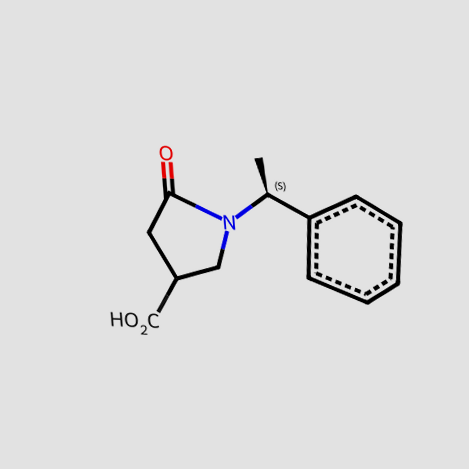 C[C@@H](c1ccccc1)N1CC(C(=O)O)CC1=O